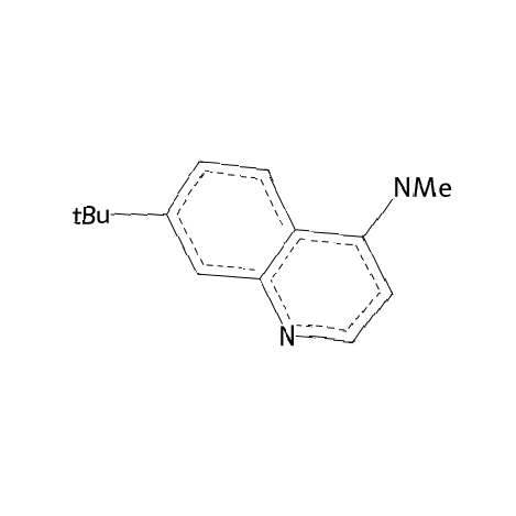 CNc1ccnc2cc(C(C)(C)C)ccc12